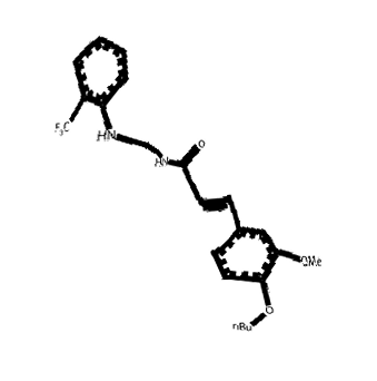 CCCCOc1ccc(/C=C/C(=O)NCNc2ccccc2C(F)(F)F)cc1OC